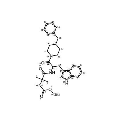 CC(C)(C)OC(=O)NC(C)(C)C(=O)NC(Cc1c[nH]c2ccccc12)C(=O)N1CCC(Cc2ccccc2)CC1